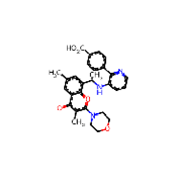 Cc1cc([C@H](C)Nc2cccnc2-c2ccc(C(=O)O)cc2)c2oc(N3CCOCC3)c(C)c(=O)c2c1